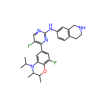 CC1Oc2c(F)cc(-c3nc(Nc4ccc5c(c4)CNCC5)ncc3F)cc2N(C(C)C)C1C